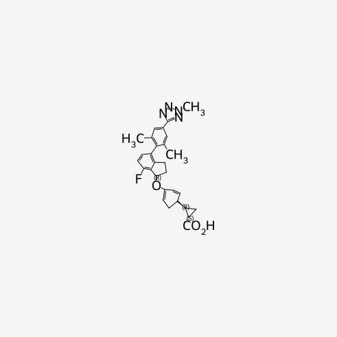 Cc1cc(-c2nnn(C)n2)cc(C)c1-c1ccc(F)c2c1CC[C@H]2OC1=CCC([C@H]2C[C@@H]2C(=O)O)C=C1